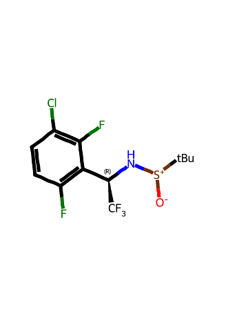 CC(C)(C)[S+]([O-])N[C@H](c1c(F)ccc(Cl)c1F)C(F)(F)F